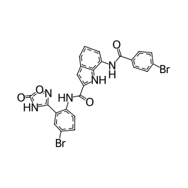 O=C(Nc1cccc2cc(C(=O)Nc3ccc(Br)cc3-c3noc(=O)[nH]3)[nH]c12)c1ccc(Br)cc1